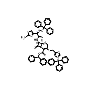 Nc1nc(/C(=N/OC(c2ccccc2)(c2ccccc2)c2ccccc2)C(=O)N[C@@H]2C(=O)N3C(C(=O)OC(c4ccccc4)c4ccccc4)=C(SCc4ncn(C(c5ccccc5)(c5ccccc5)c5ccccc5)n4)CS[C@@H]23)cs1